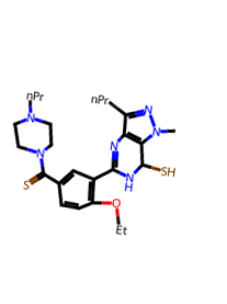 CCCc1nn(C)c2c1N=C(c1cc(C(=S)N3CCN(CCC)CC3)ccc1OCC)NC2S